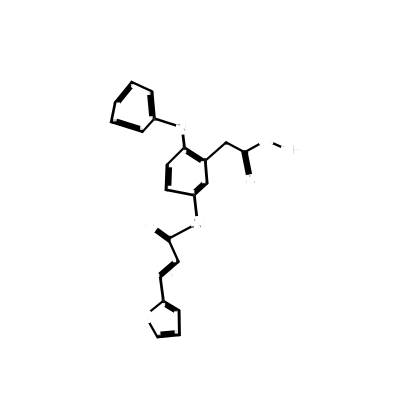 COC(=O)Cc1cc(NC(=O)/C=C/c2cccs2)ccc1Nc1ccccc1